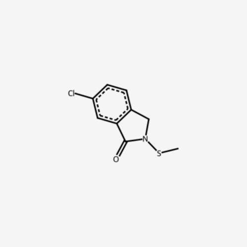 CSN1Cc2ccc(Cl)cc2C1=O